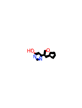 Oc1cc(-c2coc3cccc-3c2)ncn1